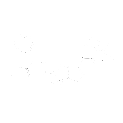 COC(=O)[C@@H](NC(O)N1Cc2c(NC(=O)C3([Si](C)(C)C)CCC3)n[nH]c2C1(C)C)c1ccccc1